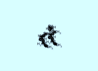 COC(=O)c1ccc2c(c1)NC(=O)C2=C(Nc1ccc(N(C)C(=O)CN2CCN(C)CC2)cc1)c1ccccc1.COC(=O)c1ccc2c(c1)NC(=O)C2=C(Nc1ccc(N(C)C(=O)CN2CCN(C)CC2)cc1)c1ccccc1.O=C(O)CC(O)(CC(=O)O)C(=O)O